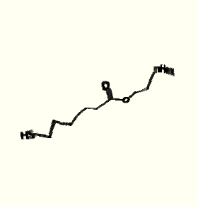 CCCCCCCCOC(=O)CCCCCS